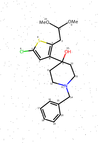 COC(Cc1sc(Cl)cc1C1(O)CCN(Cc2ccccc2)CC1)OC